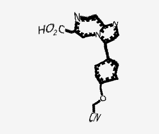 N#CCOc1ccc(-c2cnc3cnc(C(=O)O)cn23)cc1